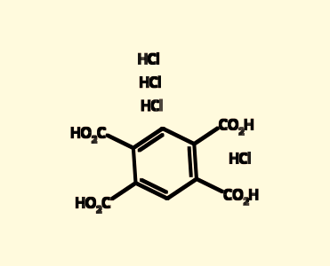 Cl.Cl.Cl.Cl.O=C(O)c1cc(C(=O)O)c(C(=O)O)cc1C(=O)O